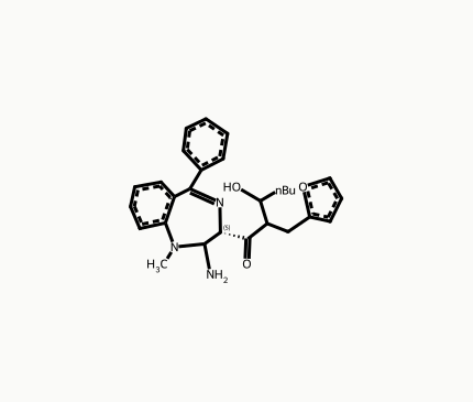 CCCCC(O)C(Cc1ccco1)C(=O)[C@H]1N=C(c2ccccc2)c2ccccc2N(C)C1N